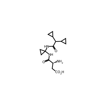 N[C@@H](CC(=O)O)C(=O)NC1(NC(=O)C(C2CC2)C2CC2)CC1